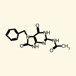 CC(=O)Nc1nc2[nH]c(=O)n(Cc3ccccc3)c2c(=O)[nH]1